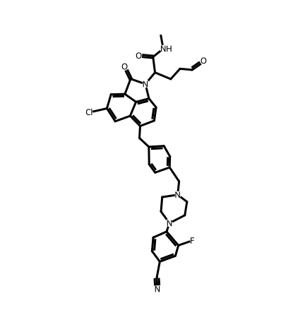 CNC(=O)C(CCC=O)N1C(=O)c2cc(Cl)cc3c(Cc4ccc(CN5CCN(c6ccc(C#N)cc6F)CC5)cc4)ccc1c23